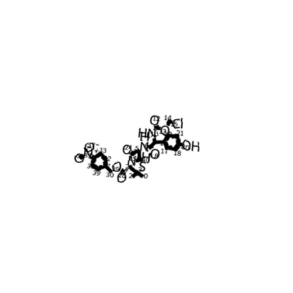 CC1(C)S[C@@H]2C(NC(=O)C(NC(=O)OCCl)c3ccc(O)cc3)C(=O)N2[C@H]1C(=O)OCc1ccc([N+](=O)[O-])cc1